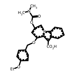 CCOc1ccc(COc2cc(OC(=O)N(C)C)cn3c2c(C(=O)O)c2ccccc23)cc1